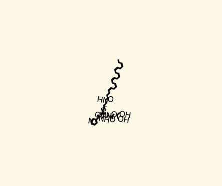 CC/C=C\C/C=C\C/C=C\C/C=C\C/C=C\C/C=C\CCC(=O)NCCSSC(C)(C)[C@@H](CNC(=O)OC(CO)CO)NC(=O)c1cccnc1